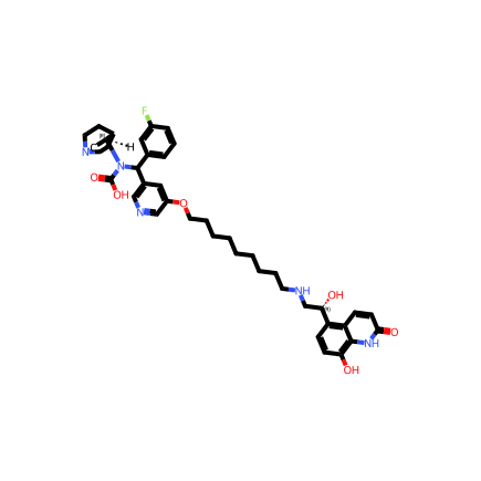 O=C(O)N(C(c1cccc(F)c1)c1cncc(OCCCCCCCCCNC[C@H](O)c2ccc(O)c3[nH]c(=O)ccc23)c1)[C@H]1CN2CCC1CC2